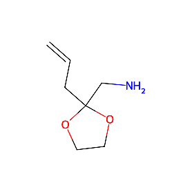 C=CCC1(CN)OCCO1